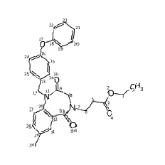 CCOC(=O)CCN1CC(=O)N(Cc2ccc(Oc3ccccc3)cc2)c2ccc(I)cc2C1=O